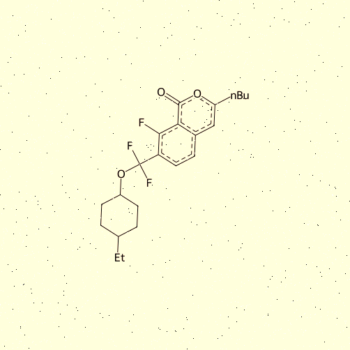 CCCCc1cc2ccc(C(F)(F)OC3CCC(CC)CC3)c(F)c2c(=O)o1